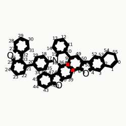 C1=Cc2cc3oc4ccc(-c5ccccc5N(c5ccc(-c6cccc7oc8ccccc8c67)cc5)c5cccc6oc7ccccc7c56)cc4c3cc2CC1